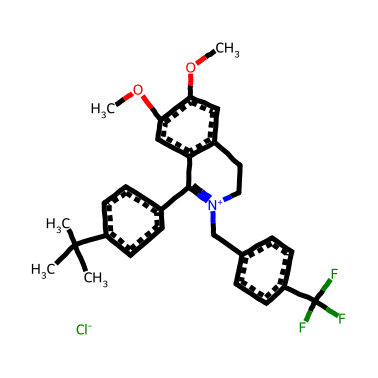 COc1cc2c(cc1OC)C(c1ccc(C(C)(C)C)cc1)=[N+](Cc1ccc(C(F)(F)F)cc1)CC2.[Cl-]